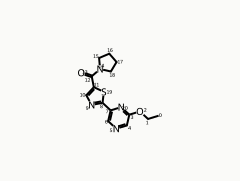 CCOc1cncc(-c2ncc(C(=O)N3CCCC3)s2)n1